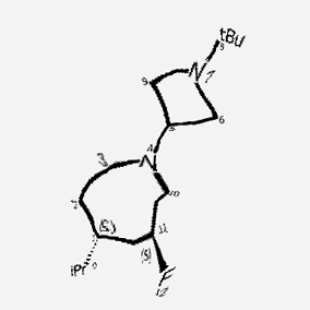 CC(C)[C@@H]1CCN(C2CN(C(C)(C)C)C2)C[C@H]1F